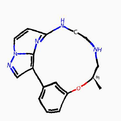 C[C@@H]1CNCCNc2ccn3ncc(c3n2)-c2cccc(c2)O1